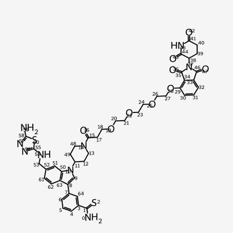 NC(=S)c1cccc(-c2cn(C3CCN(C(=O)CCOCCOCCOCCOc4cccc5c4C(=O)N(C4CCC(=O)NC4=O)C5=O)CC3)c3cc(CNc4nnc(N)s4)ccc23)c1